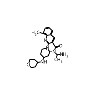 Cc1cccc2cc(C(=O)NC(C)N)c(N3CCC(NC4CCOCC4)CC3)nc12